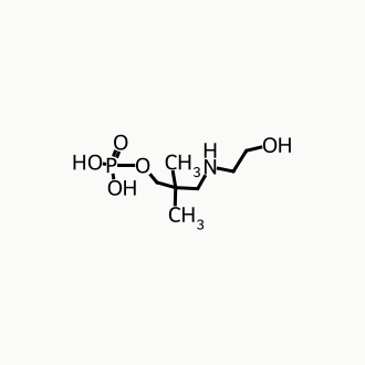 CC(C)(CNCCO)COP(=O)(O)O